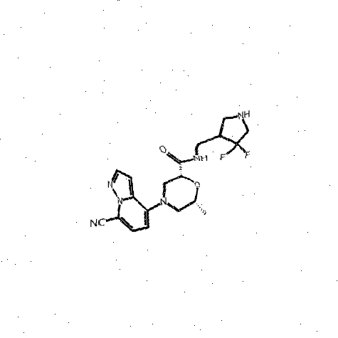 C[C@@H]1CN(c2ccc(C#N)n3nccc23)C[C@H](C(=O)NCC2CNCC2(F)F)O1